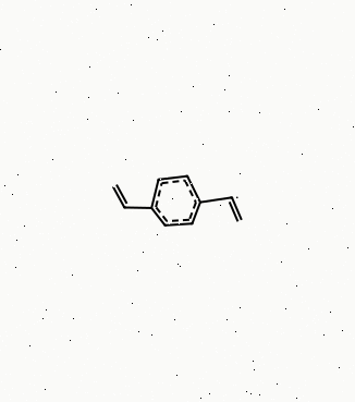 C=[C]c1ccc(C=C)cc1